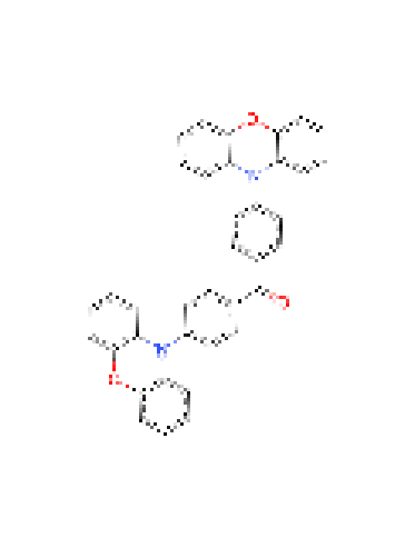 O=C(c1ccc(N2c3ccccc3Oc3ccccc32)cc1)c1ccc(N2c3ccccc3Oc3ccccc32)cc1